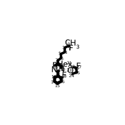 CC(F)CCCCCc1cnc(-c2ccccc2F)nc1.CCCCCCC1OCCC1F